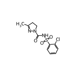 CC1=NN(C(=O)NS(=O)(=O)c2ccccc2Cl)CC1